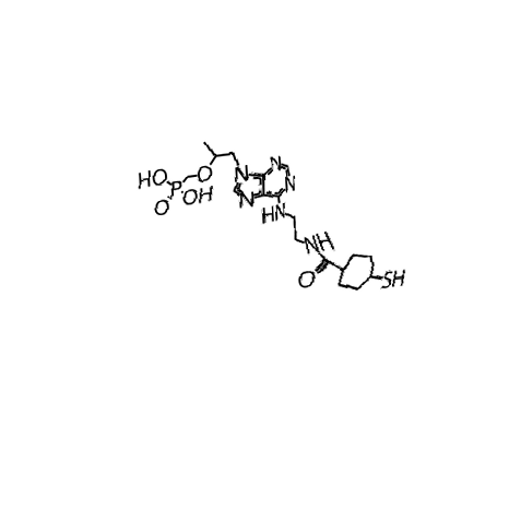 CC(Cn1cnc2c(NCCNC(=O)C3CCC(S)CC3)ncnc21)OCP(=O)(O)O